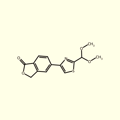 COC(OC)c1nc(-c2ccc3c(c2)COC3=O)cs1